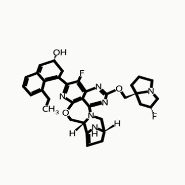 CCc1cccc2c1=C(c1nc3c4c(nc(OC[C@@]56CCCN5C[C@H](F)C6)nc4c1F)N1C[C@@H]4CC=C(N4)[C@@H]1CO3)C[C@@H](O)C=2